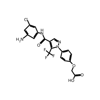 Nc1cc(Cl)cc(NC(=O)c2cnn(-c3ccc(OCC(=O)O)cc3)c2C(F)(F)F)c1